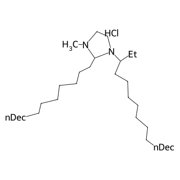 CCCCCCCCCCCCCCCCCC(CC)N1CCN(C)C1CCCCCCCCCCCCCCCCC.Cl